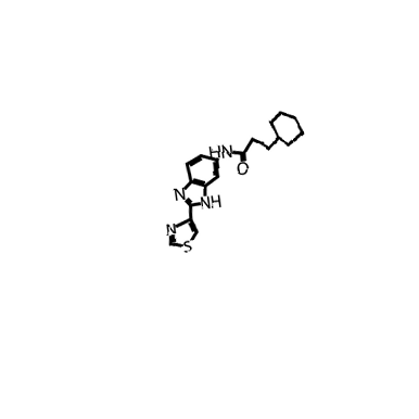 O=C(CCC1CCCCC1)Nc1ccc2nc(-c3cscn3)[nH]c2c1